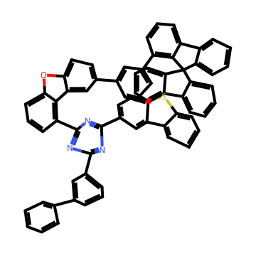 c1ccc(-c2cccc(-c3nc(-c4ccc5sc6ccccc6c5c4)nc(-c4cccc5oc6ccc(-c7cccc(-c8cccc9c8C8(c%10ccccc%10-c%10ccccc%108)c8ccccc8-9)c7)cc6c45)n3)c2)cc1